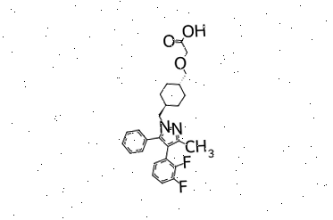 Cc1nn(C[C@H]2CC[C@H](COCC(=O)O)CC2)c(-c2ccccc2)c1-c1cccc(F)c1F